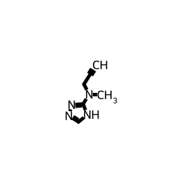 C#CCN(C)c1nnc[nH]1